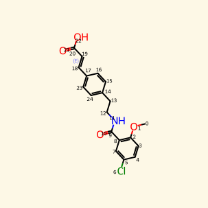 COc1ccc(Cl)cc1C(=O)NCCc1ccc(/C=C/C(=O)O)cc1